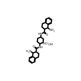 Cl.Cl.NC1c2ccccc2CCC1C(=O)NC1CCC(NC(=O)C2CCc3ccccc3C2N)CC1